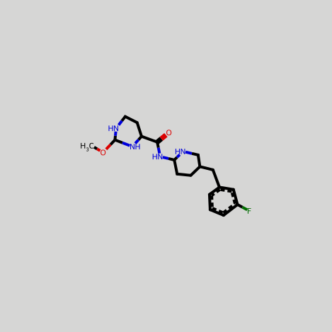 COC1NCCC(C(=O)NC2CCC(Cc3cccc(F)c3)CN2)N1